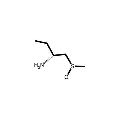 CC[C@@H](N)C[S+](C)[O-]